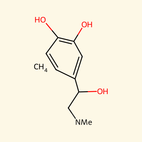 C.CNCC(O)c1ccc(O)c(O)c1